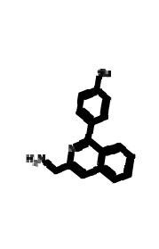 CC(C)(C)c1ccc(-c2nc(CN)cc3ccccc23)cc1